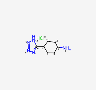 Cl.NC1CCC(c2nnn[nH]2)CC1